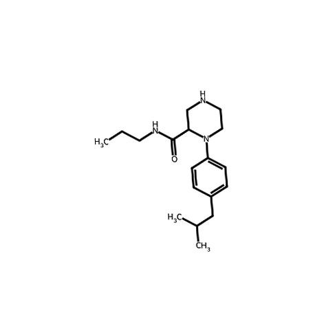 CCCNC(=O)C1CNCCN1c1ccc(CC(C)C)cc1